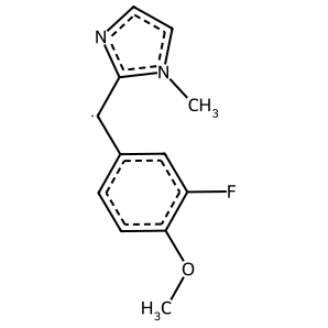 COc1ccc([CH]c2nccn2C)cc1F